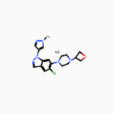 C[C@@H]1CN(C2COC2)CCN1c1cc2c(cnn2-c2cnn(C)c2)cc1Cl